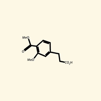 COC(=O)c1ccc(CCC(=O)O)cc1OC